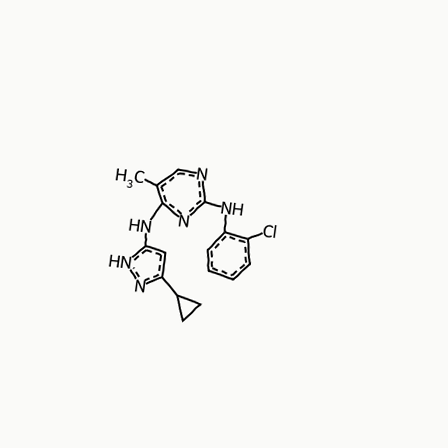 Cc1cnc(Nc2ccccc2Cl)nc1Nc1cc(C2CC2)n[nH]1